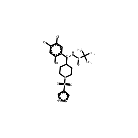 CC(C)(C)[S+]([O-])N[C@@H](c1cc(Cl)c(Cl)cc1O)C1CCN(S(=O)(=O)c2cn[nH]c2)CC1